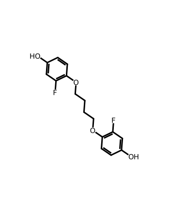 Oc1ccc(OCCCCOc2ccc(O)cc2F)c(F)c1